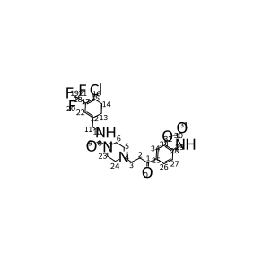 O=C(CCN1CCN(C(=O)NCc2ccc(Cl)c(C(F)(F)F)c2)CC1)c1ccc2[nH]c(=O)oc2c1